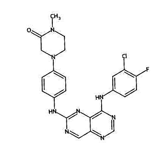 CN1CCN(c2ccc(Nc3ncc4ncnc(Nc5ccc(F)c(Cl)c5)c4n3)cc2)CC1=O